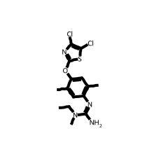 CCN(C)C(N)=Nc1cc(C)c(Oc2nc(Cl)c(Cl)s2)cc1C